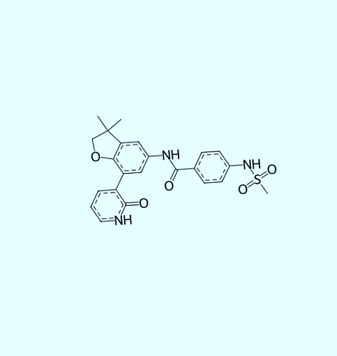 CC1(C)COc2c(-c3ccc[nH]c3=O)cc(NC(=O)c3ccc(NS(C)(=O)=O)cc3)cc21